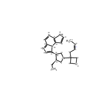 CC[C@@H]1CN(C2(C/C=N\C)COC2)C[C@@H]1c1nnc2cnc3[nH]ccc3n12